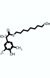 CCCCCCCCCCCCCCCCCCSC(=O)[C@@H](O)c1cc(C)c(O)c(C)c1